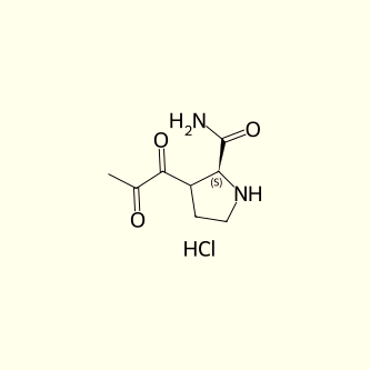 CC(=O)C(=O)C1CCN[C@@H]1C(N)=O.Cl